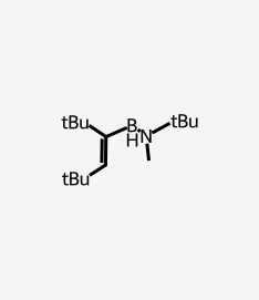 CN(B/C(=C/C(C)(C)C)C(C)(C)C)C(C)(C)C